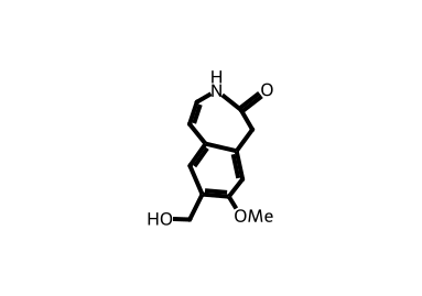 COc1cc2c(cc1CO)C=CNC(=O)C2